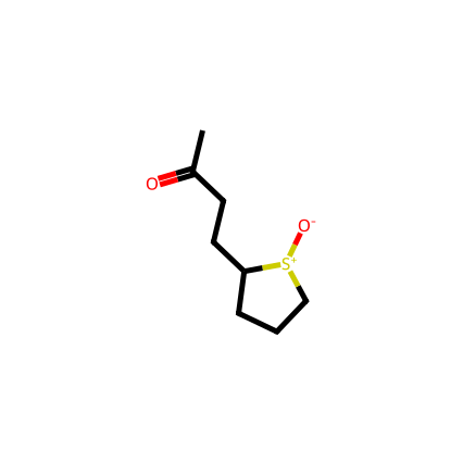 CC(=O)CCC1CCC[S+]1[O-]